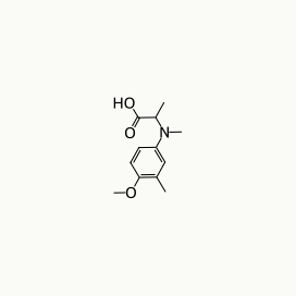 COc1ccc(N(C)C(C)C(=O)O)cc1C